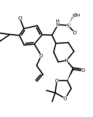 C=CCOc1cc(C2CC2)c(Cl)cc1C(N[S@@+]([O-])C(C)(C)C)C1CCN(C(=O)[C@H]2COC(C)(C)O2)CC1